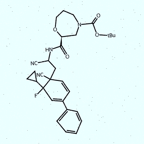 CC(C)(C)OC(=O)N1CCCO[C@H](C(=O)NC(C#N)CC2(C#N)C=CC(c3ccccc3)=CC2(F)C2CC2)C1